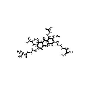 COc1c(OCCCNC(=N)N)cc2oc3cc(OCCCNC(=N)N)c(CC=C(C)C)c(O)c3c(=O)c2c1CC=C(C)C